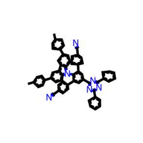 Cc1ccc(-c2ccc3c(c2)c2cc(-c4ccc(C)cc4)ccc2n3-c2c(-c3ccc(C#N)cc3)cc(-c3nc(-c4ccccc4)nc(-c4ccccc4)n3)cc2-c2ccc(C#N)cc2)cc1